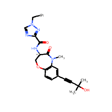 CC(C)Cn1cnc(C(=O)N[C@@H]2COc3ccc(C#CC(C)(C)O)cc3N(C)C2=O)n1